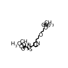 CC(C)(C)OC(=O)c1csc(-c2ccnc(CCCOCCCOS(C)(=O)=O)c2)n1